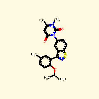 Cc1ccc(O[C@H](C)C(=O)O)c(-c2nsc3ccc(-n4c(=O)cc(C(F)(F)F)n(C)c4=O)cc23)c1